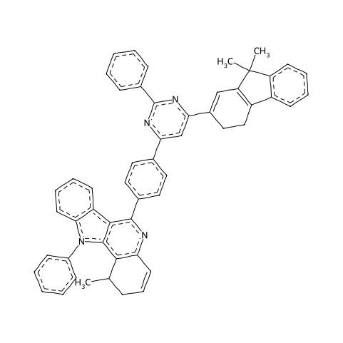 CC1CC=Cc2nc(-c3ccc(-c4cc(C5=CC6=C(CC5)c5ccccc5C6(C)C)nc(-c5ccccc5)n4)cc3)c3c4ccccc4n(-c4ccccc4)c3c21